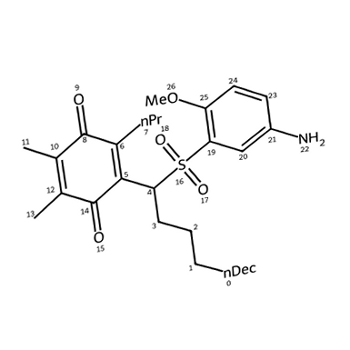 CCCCCCCCCCCCCC(C1=C(CCC)C(=O)C(C)=C(C)C1=O)S(=O)(=O)c1cc(N)ccc1OC